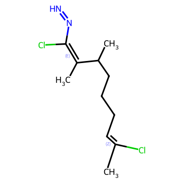 C/C(Cl)=C/CCCC(C)/C(C)=C(/Cl)N=N